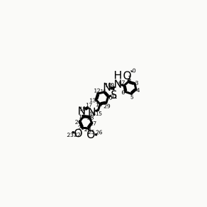 COc1ccccc1Nc1nc2ccc(Cn3cnc4cc(OC)c(OC)cc43)cc2s1